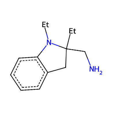 CCN1c2ccccc2CC1(CC)CN